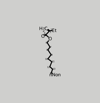 C=C(CC)C(=O)OCCCCCCCCCCCCCCCCC